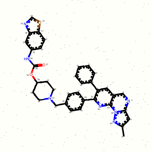 Cc1cc2ncc3cc(-c4ccccc4)c(-c4ccc(CN5CCC(OC(=O)Nc6ccc7scnc7c6)CC5)cc4)nc3n2n1